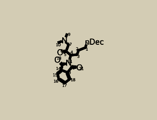 CCCCCCCCCCCCCC(C(=O)CN(C)C)N1C(=O)c2ccccc2C1=O